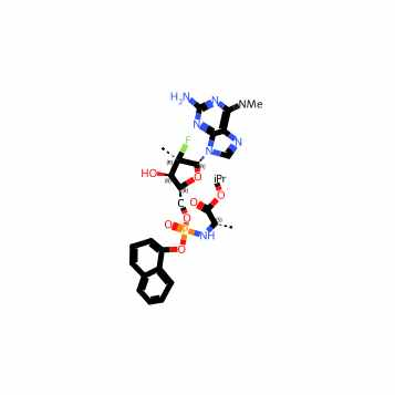 CNc1nc(N)nc2c1ncn2[C@@H]1O[C@H](COP(=O)(N[C@@H](C)C(=O)OC(C)C)Oc2cccc3ccccc23)[C@@H](O)[C@@]1(C)F